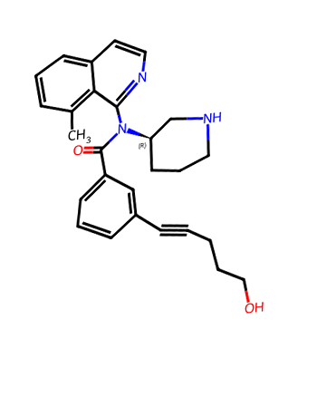 Cc1cccc2ccnc(N(C(=O)c3cccc(C#CCCCO)c3)[C@@H]3CCCNC3)c12